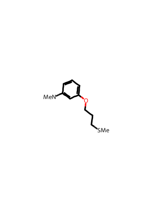 CNc1cccc(OCCCSC)c1